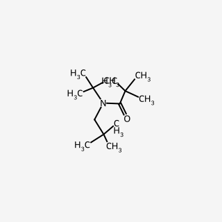 CC(C)(C)CN(C(=O)C(C)(C)C)C(C)(C)C